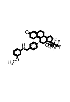 COC1=CC=CC(NCc2ccc([C@H]3C[C@@]4(C)C(CC[C@@]4(O)C(F)(F)C(F)(F)F)C4CCC5=CC(=O)CCC5=C43)cc2)C1